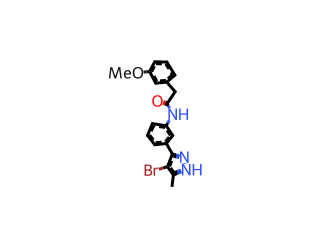 COc1cccc(CC(=O)Nc2cccc(-c3n[nH]c(C)c3Br)c2)c1